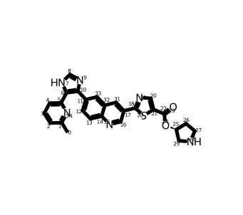 Cc1cccc(-c2[nH]cnc2-c2ccc3ncc(-c4ncc(C(=O)O[C@@H]5CCNC5)s4)cc3c2)n1